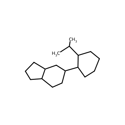 CC(C)C1CCCCC1C1CCC2CCCC2C1